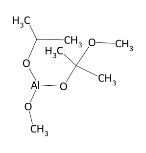 C[O][Al]([O]C(C)C)[O]C(C)(C)OC